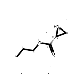 CCCOC(=O)[C@H]1CN1